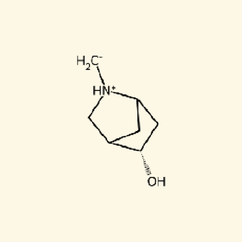 [CH2-][NH+]1CC2CC1C[C@@H]2O